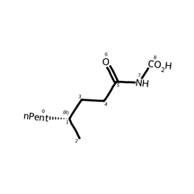 CCCCC[C@@H](C)CCC(=O)NC(=O)O